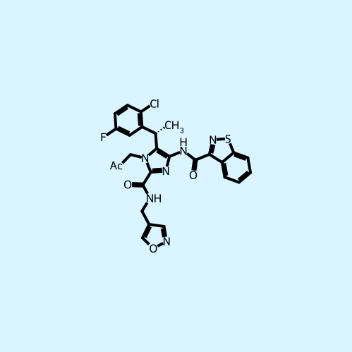 CC(=O)Cn1c(C(=O)NCc2cnoc2)nc(NC(=O)c2nsc3ccccc23)c1[C@@H](C)c1cc(F)ccc1Cl